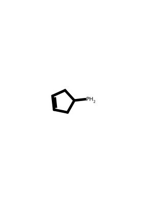 PC1CC=CC1